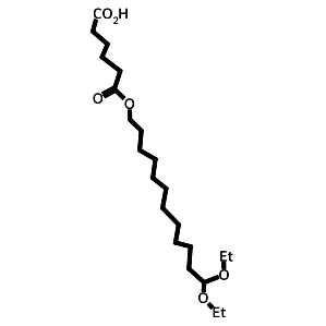 CCOC(CCCCCCCCCCCOC(=O)CCCCC(=O)O)OCC